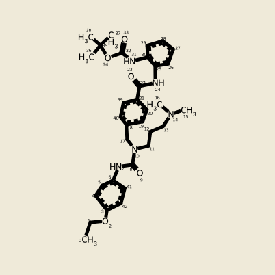 CCOc1ccc(NC(=O)N(CCCN(C)C)Cc2ccc(C(=O)Nc3ccccc3NC(=O)OC(C)(C)C)cc2)cc1